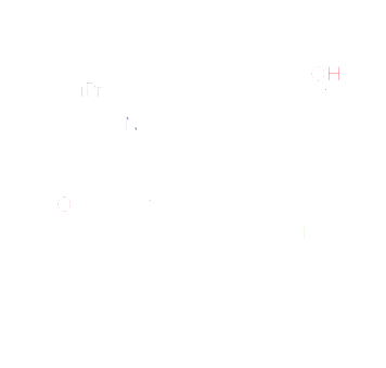 CC(C)N(C(=O)c1cccc(F)c1)C1CC(O)C1